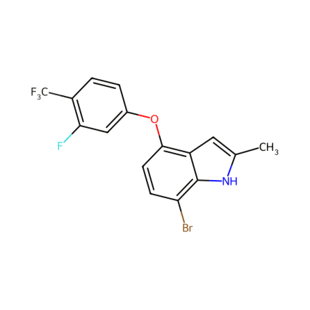 Cc1cc2c(Oc3ccc(C(F)(F)F)c(F)c3)ccc(Br)c2[nH]1